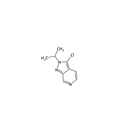 CC(C)n1nc2cnccc2c1Cl